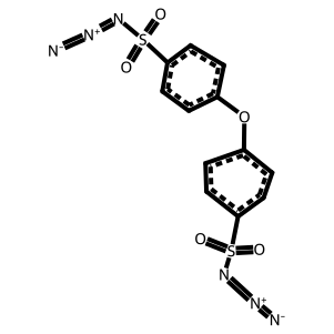 [N-]=[N+]=NS(=O)(=O)c1ccc(Oc2ccc(S(=O)(=O)N=[N+]=[N-])cc2)cc1